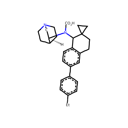 CCc1ccc(-c2ccc3c(c2)CCC2(CC2)C3N(C(=O)O)[C@@H]2CN3CCC2CC3)cc1